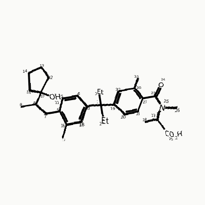 CCC(CC)(c1ccc(CC(C)C2(O)CCCC2)c(C)c1)c1ccc(C(=O)N(C)C(C)C(=O)O)c(C)c1